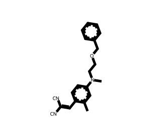 [C-]#[N+]C(=Cc1ccc(N(C)CCOCc2ccccc2)cc1C)[N+]#[C-]